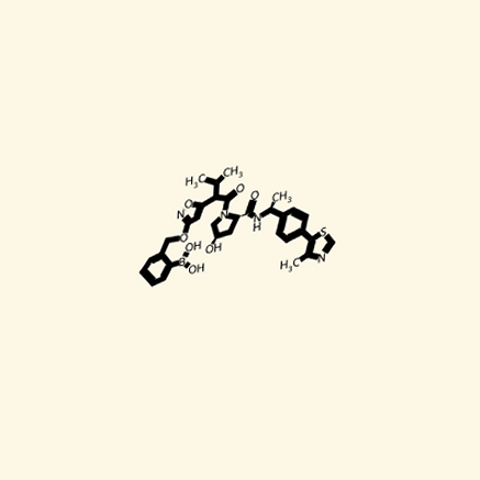 Cc1ncsc1-c1ccc([C@H](C)NC(=O)[C@@H]2C[C@@H](O)CN2C(=O)C(c2cc(OCc3ccccc3B(O)O)no2)C(C)C)cc1